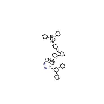 C=C1/C=C\C=C/CN(c2cc(-c3ccccc3)cc(-c3ccccc3)c2)c2ccc(-c3ccc4c(c3)c3ccccc3n4-c3ccc(-c4cc(-c5ccccc5)nc(-c5ccccc5)n4)cc3)cc21